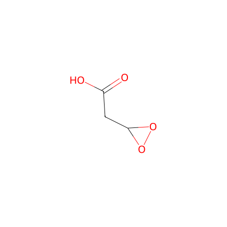 O=C(O)CC1OO1